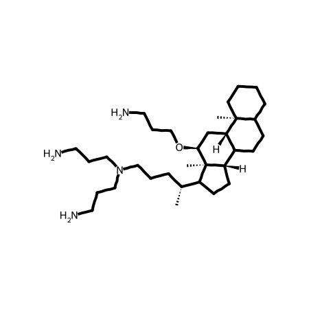 C[C@H](CCCN(CCCN)CCCN)C1CC[C@H]2C3CCC4CCCC[C@]4(C)[C@H]3C[C@H](OCCCN)[C@]12C